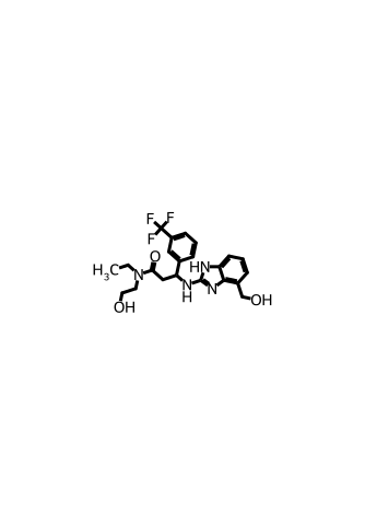 CCN(CCO)C(=O)CC(Nc1nc2c(CO)cccc2[nH]1)c1cccc(C(F)(F)F)c1